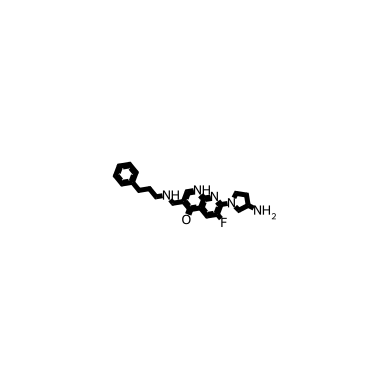 NC1CCN(c2nc3[nH]cc(CNCCCc4ccccc4)c(=O)c3cc2F)C1